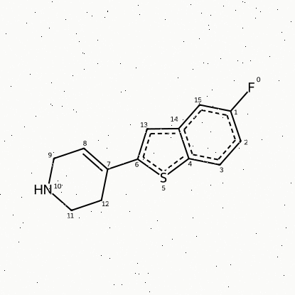 Fc1ccc2sc(C3=CCNCC3)cc2c1